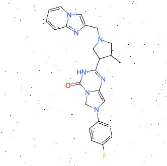 CC1CN(Cc2cn3ccccc3n2)CC1C1=NC2=CN(c3ccc(F)cc3)CN2C(=O)N1